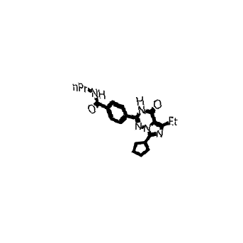 CCCNC(=O)c1ccc(-c2nn3c(C4CCCC4)nc(CC)c3c(=O)[nH]2)cc1